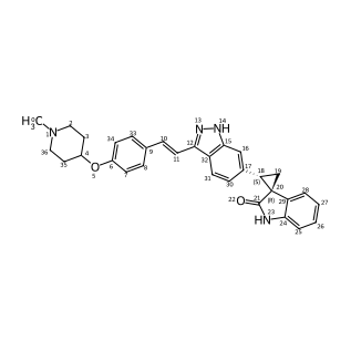 CN1CCC(Oc2ccc(C=Cc3n[nH]c4cc([C@@H]5C[C@@]56C(=O)Nc5ccccc56)ccc34)cc2)CC1